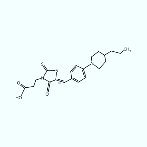 CCCC1CCN(c2ccc(/C=C3\SC(=S)N(CCC(=O)O)C3=O)cc2)CC1